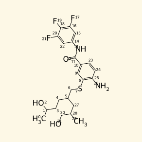 CC(O)CCC(CSc1cc(C(=O)Nc2cc(F)c(F)c(F)c2)ccc1N)CC(C)CO